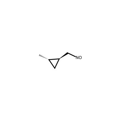 C[C@H]1C[C@@H]1CN=O